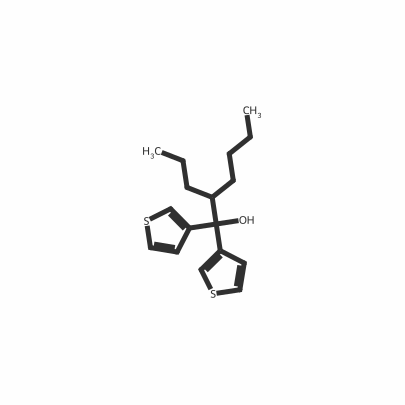 CCCCC(CCC)C(O)(c1ccsc1)c1ccsc1